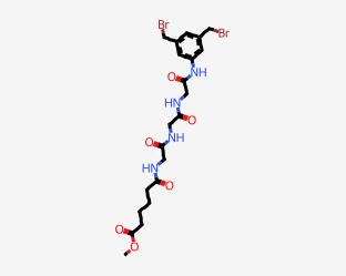 COC(=O)CCCCC(=O)NCC(=O)NCC(=O)NCC(=O)Nc1cc(CBr)cc(CBr)c1